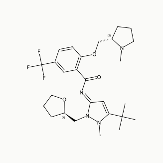 CN1CCC[C@H]1COc1ccc(C(F)(F)F)cc1C(=O)N=c1cc(C(C)(C)C)n(C)n1C[C@H]1CCCO1